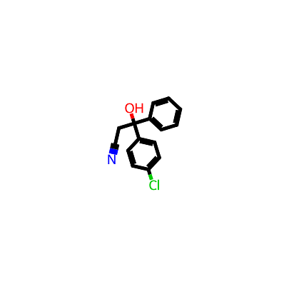 N#CCC(O)(c1ccccc1)c1ccc(Cl)cc1